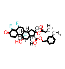 CCC(=O)O[C@@]1(C)C[C@H]2[C@@H]3C[C@H](F)C4=C(F)C(=O)C=C[C@]4(C)[C@@]3(F)[C@@H](O)C[C@]2(C)[C@H]1C(=O)OCc1cccc(C)c1